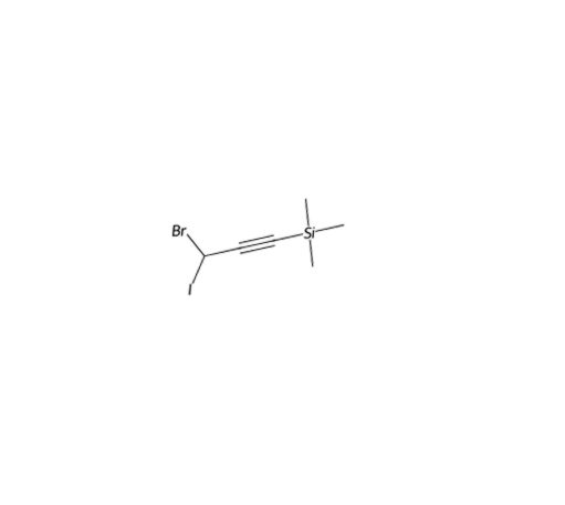 C[Si](C)(C)C#CC(Br)I